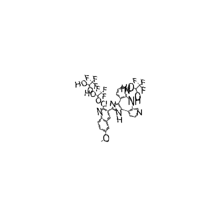 COc1ccc2nc(Cl)c(-c3nc4c([nH]3)-c3ccncc3Nc3ncccc3-4)cc2c1.O=C(O)C(F)(F)F.O=C(O)C(F)(F)F.O=C(O)C(F)(F)F